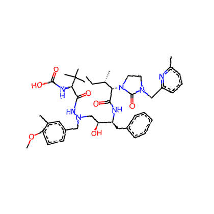 CC[C@H](C)[C@@H](C(=O)N[C@@H](Cc1ccccc1)[C@@H](O)CN(Cc1ccc(OC)c(C)c1)NC(=O)[C@@H](NC(=O)O)C(C)(C)C)N1CCN(Cc2cccc(C)n2)C1=O